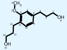 COc1cc(CCCO)ccc1CCCO